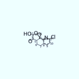 O=C(O)C(=O)C1CCc2ccc(Cl)nc2C1=O